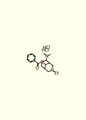 CCN1CC2CCC(N(C)C)C(C1)C2OC(=O)c1ccccc1.Cl.Cl